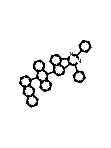 c1ccc(-c2nc(-c3ccccc3)c3c(n2)-c2cccc4c(-c5c6ccccc6c(-c6cccc7cc8ccccc8cc67)c6ccccc56)ccc-3c24)cc1